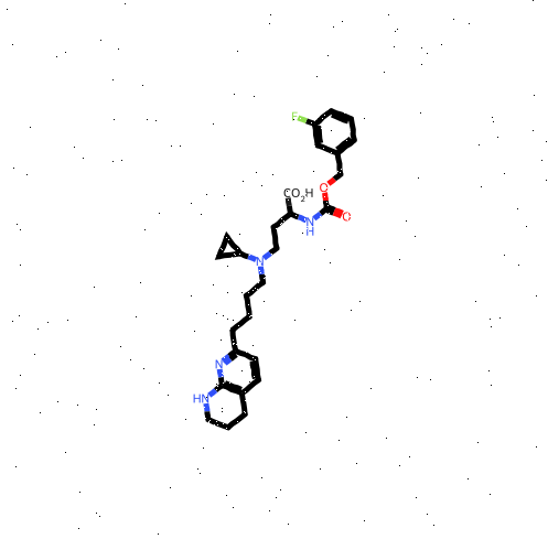 O=C(NC(CCN(CCCCc1ccc2c(n1)NCCC2)C1CC1)C(=O)O)OCc1cccc(F)c1